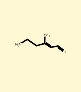 CCC/C(C)=C/C=O